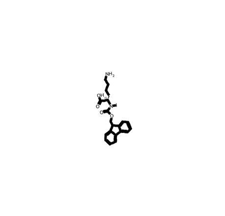 NCCCC[C@@H](C(=O)O)N(I)C(=O)OCC1c2ccccc2-c2ccccc21